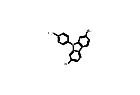 CC(C)(C)c1ccc2c3ccc(C(C)(C)C)cc3n(-c3ccc([SiH3])cc3)c2c1